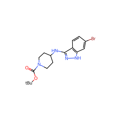 CC(C)(C)OC(=O)N1CCC(Nc2n[nH]c3cc(Br)ccc23)CC1